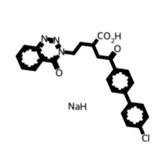 O=C(CC(CCn1nnc2ccccc2c1=O)C(=O)O)c1ccc(-c2ccc(Cl)cc2)cc1.[NaH]